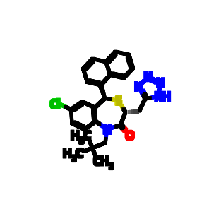 CC(C)(C)CN1C(=O)[C@@H](Cc2nnn[nH]2)S[C@H](c2cccc3ccccc23)c2cc(Cl)ccc21